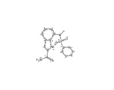 CN(c1cccc2cc(C(N)=S)[nH]c12)S(=O)(=O)c1ccccn1